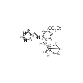 CCOC(=O)c1ccc(NC2C3CC4CC(C3)CC2C4)c(N=Cc2cncnc2)c1